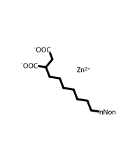 CCCCCCCCCCCCCCCCC(CC(=O)[O-])C(=O)[O-].[Zn+2]